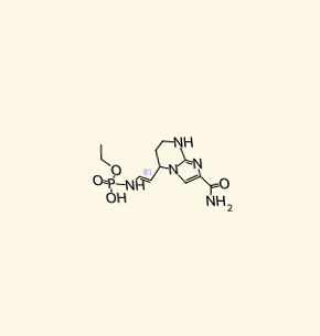 CCOP(=O)(O)N/C=C/C1CCNc2nc(C(N)=O)cn21